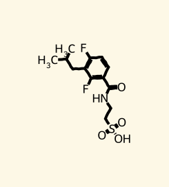 CC(C)Cc1c(F)ccc(C(=O)NCCS(=O)(=O)O)c1F